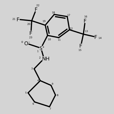 [O-][S+](NCC1CCCCC1)c1cc(C(F)(F)F)ccc1C(F)(F)F